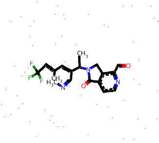 C\N=C/C(=C\C(C)=C\C(F)(F)F)C(C)N1Cc2c(ccnc2C=O)C1=O